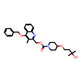 Cc1c(COC(=O)N2CCC(OCCC(C)(C)O)CC2)nc2ccccc2c1OCc1ccccc1